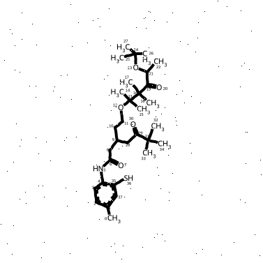 Cc1ccc(NC(=O)CC(CCOC(C)(C)C(C)(C)C(=O)C(C)OC(C)(C)C)CC(=O)C(C)(C)C)c(S)c1